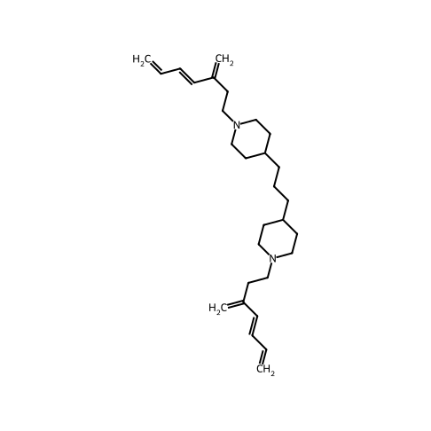 C=CC=CC(=C)CCN1CCC(CCCC2CCN(CCC(=C)C=CC=C)CC2)CC1